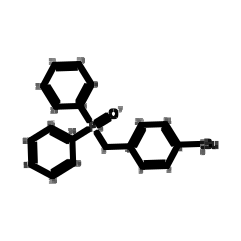 CC(C)(C)c1ccc(CP(=O)(c2ccccc2)c2ccccc2)cc1